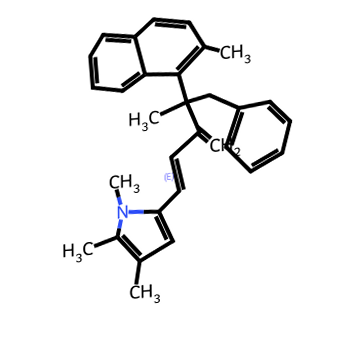 C=C(/C=C/c1cc(C)c(C)n1C)C(C)(Cc1ccccc1)c1c(C)ccc2ccccc12